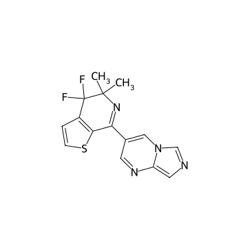 CC1(C)N=C(c2cnc3cncn3c2)c2sccc2C1(F)F